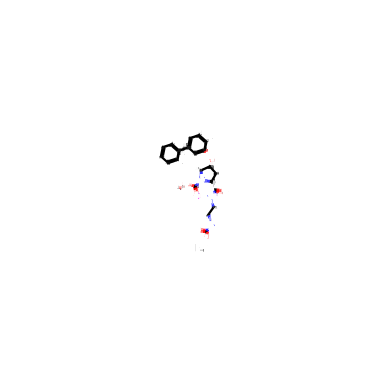 CC(C)(C)OC(=O)NCCNC(=O)[C@@H]1C[C@@H](Oc2cccc(-c3ccccc3)c2)CN1C(=O)OC(C)(C)C